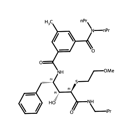 CCCN(CCC)C(=O)c1cc(C)cc(C(=O)N[C@@H](Cc2ccccc2)[C@@H](O)[C@@H](SCCOC)C(=O)NCC(C)C)c1